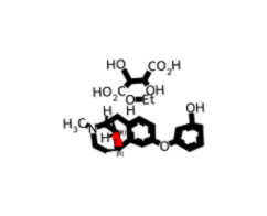 CCO.CN1CC[C@]23CCCC[C@H]2[C@H]1Cc1ccc(Oc2cccc(O)c2)cc13.O=C(O)C(O)C(O)C(=O)O